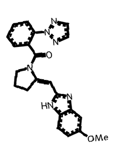 COc1ccc2[nH]c(C=C3CCCN3C(=O)c3ccccc3-n3nccn3)nc2c1